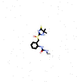 CCCNC(=O)Nc1ccccc1C[S+]([O-])C1=NC(=S)C(C)(C)N1